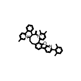 C=C1C2c3ccccc3-c3ccc(C)c[n+]3C2CCc2ccc3c(oc4nc(-c5c(C)cccc5C)ccc43)c2-c2ccc(C)c(C)[n+]21